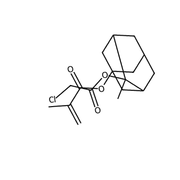 C=C(C)C(=O)OC12CC3CC(C1)C(C)(OC(=O)CCl)C(C3)C2